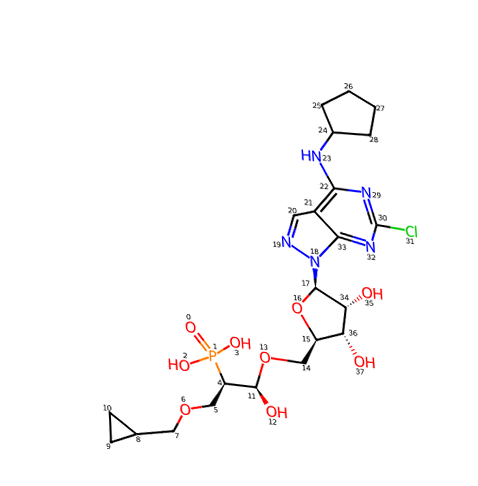 O=P(O)(O)[C@H](COCC1CC1)[C@H](O)OC[C@H]1O[C@@H](n2ncc3c(NC4CCCC4)nc(Cl)nc32)[C@H](O)[C@@H]1O